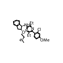 CCc1nc(-c2ccc(OC)cc2Cl)c(CC)nc1N[C@@H]1c2ccccc2C[C@@H]1OCCN(C)C